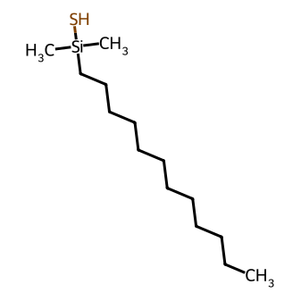 CCCCCCCCCCCC[Si](C)(C)S